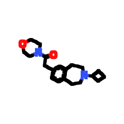 O=C(Cc1ccc2c(c1)CCN(C1CCC1)CC2)N1CCOCC1